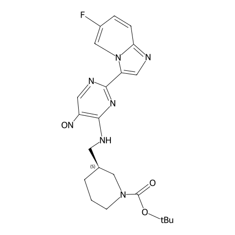 CC(C)(C)OC(=O)N1CCC[C@@H](CNc2nc(-c3cnc4ccc(F)cn34)ncc2N=O)C1